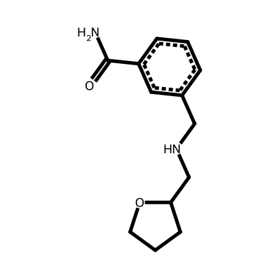 NC(=O)c1cccc(CNCC2CCCO2)c1